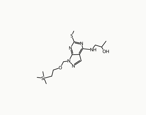 CSc1nc(NCC(C)O)c2cnn(COCC[Si](C)(C)C)c2n1